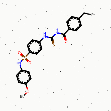 CCOc1ccc(NS(=O)(=O)c2ccc(NC(=S)NC(=O)c3ccc(CC(C)C)cc3)cc2)cc1